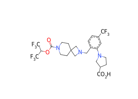 O=C(O)C1CCN(c2cc(C(F)(F)F)ccc2CN2CC3(CCN(C(=O)OC(C(F)(F)F)C(F)(F)F)CC3)C2)C1